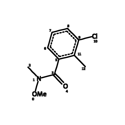 CON(C)C(=O)c1cccc(Cl)c1C